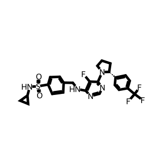 O=S(=O)(NC1CC1)c1ccc(CNc2ncnc(N3CCC[C@@H]3c3ccc(C(F)(F)F)cc3)c2F)cc1